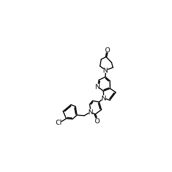 O=C1CCN(c2cnc3c(ccn3-c3ccn(Cc4cccc(Cl)c4)c(=O)c3)c2)CC1